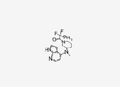 CN(c1ccnc2[nH]ccc12)[C@@H]1CCCN(C(=O)C(F)(F)P)C1